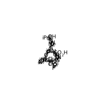 Cc1c(Cl)c2c(Cl)c(C)c1-c1c(-c3ccc(F)cc3)sc3ncnc(c13)O[C@@H](C(=O)O)Cc1cc(ccc1OCc1ccnc(N3CC(O)(C(C)C)C3)n1)OC[C@@H](CN1CCN(C)CC1)O2